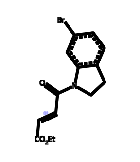 CCOC(=O)/C=C/C(=O)N1CCc2ccc(Br)cc21